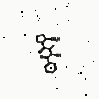 CC(C(=O)N1CCC[C@H]1C(=O)O)C(S)C(=O)c1ccccc1